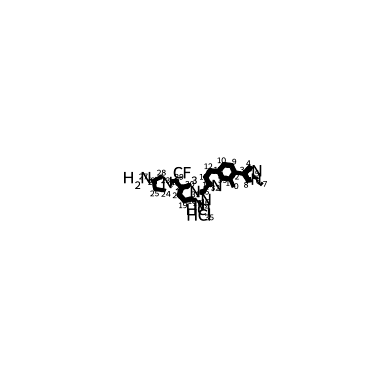 Cc1c(-c2cnn(C)c2)ccc2ccc(-c3nnc4ccc([C@@H](N5CC[C@H](N)C5)C(F)(F)F)cn34)nc12.Cl.Cl